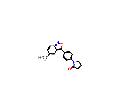 O=C(O)c1ccc2noc(-c3ccc(N4CCCC4=O)cc3)c2c1